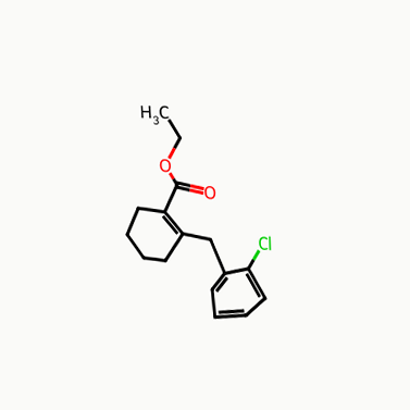 CCOC(=O)C1=C(Cc2ccccc2Cl)CCCC1